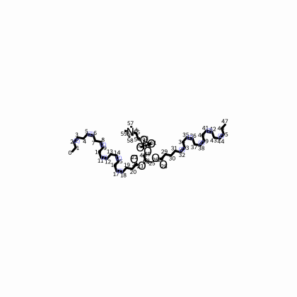 CC/C=C\C/C=C\C/C=C\C/C=C\C/C=C\C/C=C\CCC(=O)O[C@H](COC(=O)CCC/C=C\C/C=C\C/C=C\C/C=C\C/C=C\CC)COP(=O)([O-])OCC[N+](C)(C)C